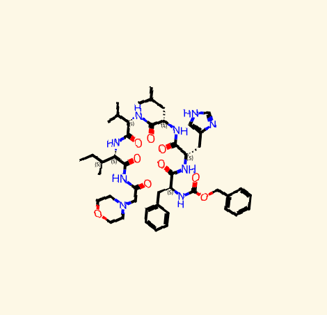 CC[C@H](C)[C@H](NC(=O)[C@@H](NC(=O)[C@H](CC(C)C)NC(=O)[C@H](Cc1c[nH]cn1)NC(=O)[C@H](Cc1ccccc1)NC(=O)OCc1ccccc1)C(C)C)C(=O)NC(=O)CN1CCOCC1